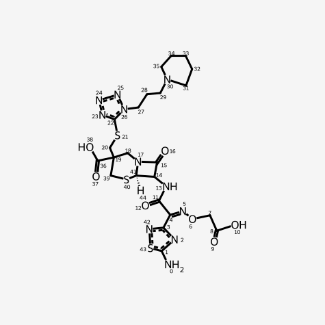 Nc1nc(C(=NOCC(=O)O)C(=O)NC2C(=O)N3CC(CSc4nnnn4CCCN4CCCCC4)(C(=O)O)CS[C@H]23)ns1